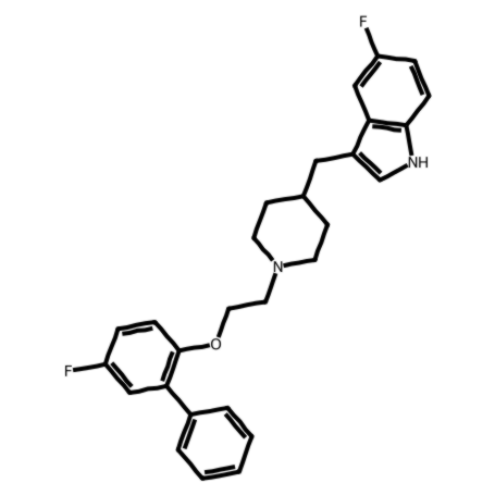 Fc1ccc(OCCN2CCC(Cc3c[nH]c4ccc(F)cc34)CC2)c(-c2ccccc2)c1